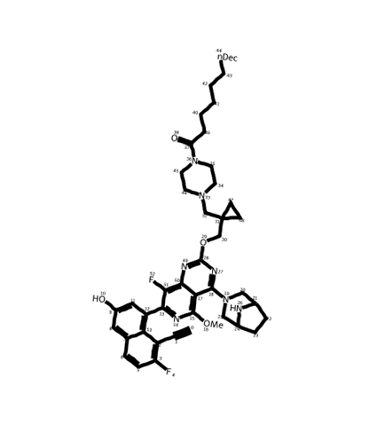 C#Cc1c(F)ccc2cc(O)cc(-c3nc(OC)c4c(N5CC6CCC(C5)N6)nc(OCC5(CN6CCN(C(=O)CCCCCCCCCCCCCCC)CC6)CC5)nc4c3F)c12